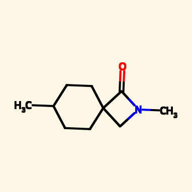 CC1CCC2(CC1)CN(C)C2=O